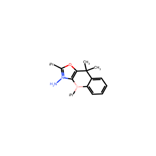 CC(C)B1c2ccccc2C(C)(C)c2oc(C(C)C)[n+](N)c21